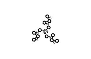 c1cc(-c2cc(-c3cccc(-n4c5ccccc5c5c6c(ccc54)sc4ccccc46)c3)nc(-c3cccc(-n4c5ccccc5c5c6c(ccc54)sc4ccccc46)c3)n2)cc(-n2c3ccccc3c3c4c(ccc32)sc2ccccc24)c1